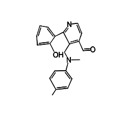 Cc1ccc(N(C)Cc2c(C=O)ccnc2-c2ccccc2O)cc1